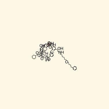 CC(C)[C@@H](NC(=O)c1ccc[n+](Cc2cc(C(O)CNCCCCCCOCCCCc3ccccc3)ccc2OP(=O)(O)O)c1)C(=O)OCC(=O)[C@@]12O[C@H](C3CCCCC3)O[C@@H]1C[C@H]1[C@@H]3CCC4=CC(=O)C=C[C@]4(C)[C@H]3[C@@H](O)C[C@@]12C